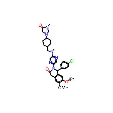 COc1cc2c(cc1OC(C)C)C(c1ccc(Cl)cc1)N(c1cnc(N(C)CC3CCC(N4CC(=O)N(C)C4)CC3)cn1)C(=O)C2